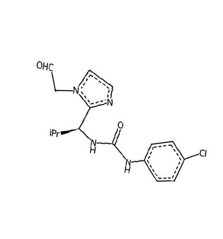 CC(C)[C@H](NC(=O)Nc1ccc(Cl)cc1)c1nccn1CC=O